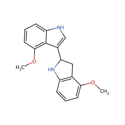 COc1cccc2c1CC(c1c[nH]c3cccc(OC)c13)N2